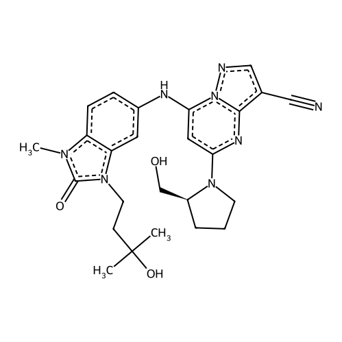 Cn1c(=O)n(CCC(C)(C)O)c2cc(Nc3cc(N4CCC[C@H]4CO)nc4c(C#N)cnn34)ccc21